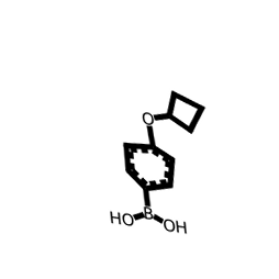 OB(O)c1ccc(OC2CCC2)cc1